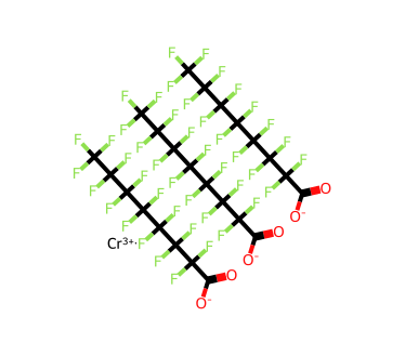 O=C([O-])C(F)(F)C(F)(F)C(F)(F)C(F)(F)C(F)(F)C(F)(F)C(F)(F)F.O=C([O-])C(F)(F)C(F)(F)C(F)(F)C(F)(F)C(F)(F)C(F)(F)C(F)(F)F.O=C([O-])C(F)(F)C(F)(F)C(F)(F)C(F)(F)C(F)(F)C(F)(F)C(F)(F)F.[Cr+3]